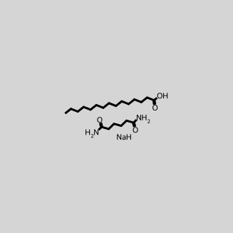 CCCCCCCCCCCCCCC(=O)O.NC(=O)CCCCC(N)=O.[NaH]